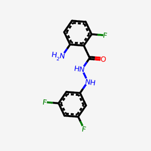 Nc1cccc(F)c1C(=O)NNc1cc(F)cc(F)c1